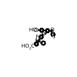 Cl.O=C(O)c1ccc2c(c1)nc(-c1ccc(OCc3cc(C(=O)N4CCSCC4)ccc3-c3ccc(Cl)cc3)cc1F)n2C1CCCCC1